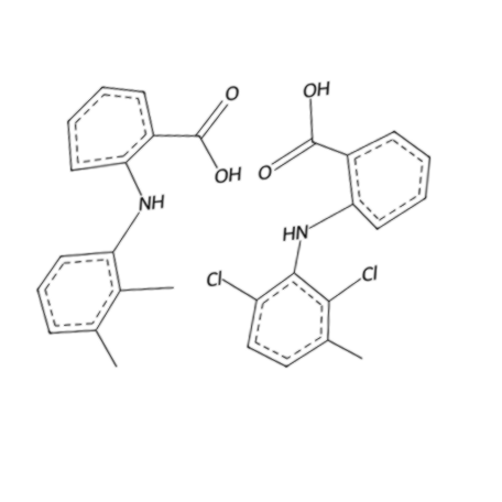 Cc1ccc(Cl)c(Nc2ccccc2C(=O)O)c1Cl.Cc1cccc(Nc2ccccc2C(=O)O)c1C